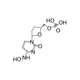 O=c1nc(NO)ccn1C1CC[C@@H](COP(=O)(O)O)O1